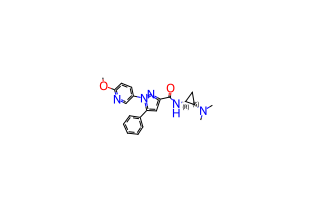 COc1ccc(-n2nc(C(=O)N[C@@H]3C[C@@H]3N(C)C)cc2-c2ccccc2)cn1